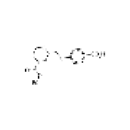 CC(C)(C)OC(=O)N1CCOC(COc2ccc(C(=O)O)cc2)C1